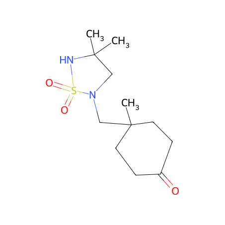 CC1(CN2CC(C)(C)NS2(=O)=O)CCC(=O)CC1